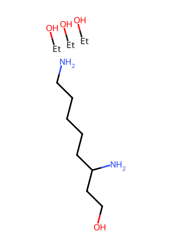 CCO.CCO.CCO.NCCCCCC(N)CCO